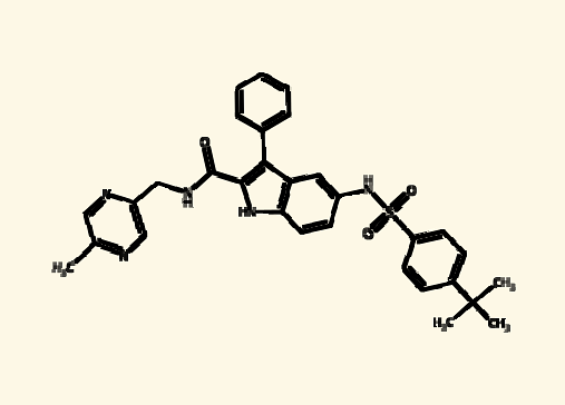 Cc1cnc(CNC(=O)c2[nH]c3ccc(NS(=O)(=O)c4ccc(C(C)(C)C)cc4)cc3c2-c2ccccc2)cn1